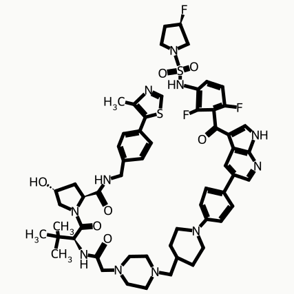 Cc1ncsc1-c1ccc(CNC(=O)[C@@H]2C[C@@H](O)CN2C(=O)[C@@H](NC(=O)CN2CCN(CC3CCN(c4ccc(-c5cnc6[nH]cc(C(=O)c7c(F)ccc(NS(=O)(=O)N8CC[C@@H](F)C8)c7F)c6c5)cc4)CC3)CC2)C(C)(C)C)cc1